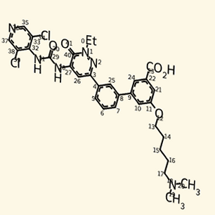 CCn1nc(-c2cccc(-c3cc(OCCCCCN(C)C)cc(C(=O)O)c3)c2)cc(NC(=O)Nc2c(Cl)cncc2Cl)c1=O